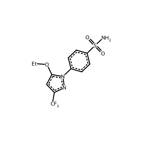 CCOc1cc(C(F)(F)F)nn1-c1ccc(S(N)(=O)=O)cc1